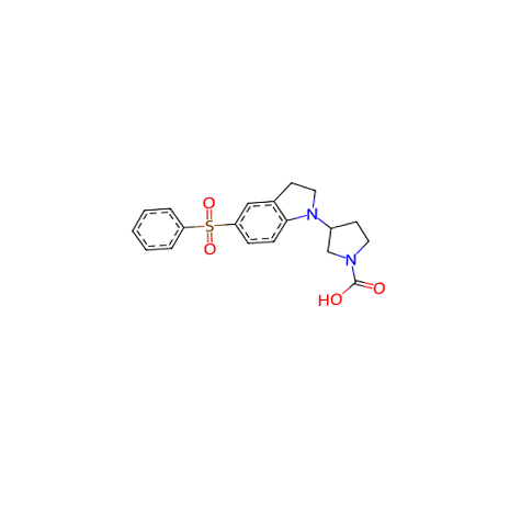 O=C(O)N1CCC(N2CCc3cc(S(=O)(=O)c4ccccc4)ccc32)C1